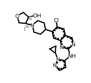 C[C@]1(N2CCC(c3cc4nc(Nc5ccnn5C5CC5)ncc4cc3Cl)CC2)COC[C@H]1O